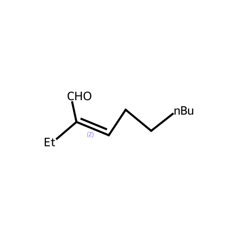 CCCCCC/C=C(\C=O)CC